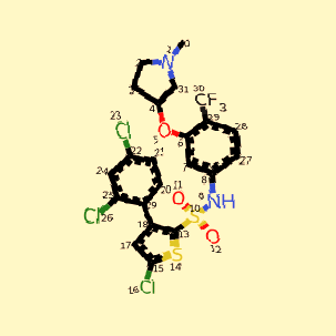 CN1CCC(Oc2cc(NS(=O)(=O)c3sc(Cl)cc3-c3ccc(Cl)cc3Cl)ccc2C(F)(F)F)C1